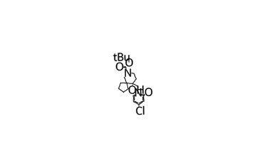 CC(C)(C)OC(=O)N1CC[C@@](O)(Cn2ccc(Cl)cc2=O)C2(CCCC2)C1